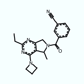 CCc1nc2c(c(N3CCC3)n1)C(C)N(C(=O)c1cccc(C#N)c1)C2